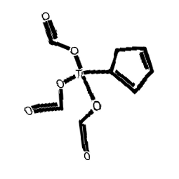 O=C[O][Ti]([O]C=O)([O]C=O)[C]1=CC=CC1